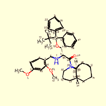 COc1ccc(CN[C@H](CO[Si](c2ccccc2)(c2ccccc2)C(C)(C)C)C(=O)N2CCC[C@H]3CCCC[C@@H]32)c(OC)c1